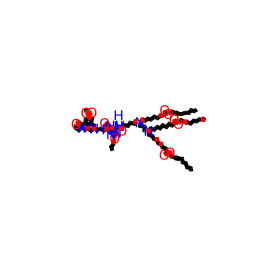 CCCCCCC#CCOC(=O)CCCCCCCCN(CCCCCCCCC(=O)OCC#CCCCCCC)CCCN(CCCCCCCCC(=O)OCC#CCCCCCC)CCCCCC(=O)Nc1nc(OCCCC)nc2c1[nH]c(=O)n2CCCN(CCCN1CCOCC1)Cc1cccc(C(=O)OC)c1